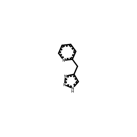 c1ccc(Cc2c[nH]nn2)nc1